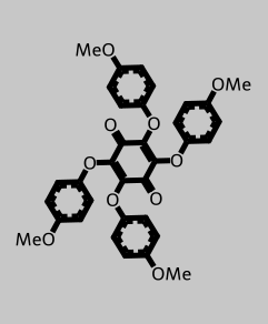 COc1ccc(OC2=C(Oc3ccc(OC)cc3)C(=O)C(Oc3ccc(OC)cc3)=C(Oc3ccc(OC)cc3)C2=O)cc1